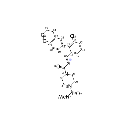 CNC(=O)N1CCN(C(=O)/C=C/c2cc[c]c(Cl)c2-c2ccc3c(c2)CCOO3)CC1